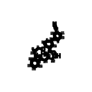 CCCOc1ccc(-c2cccc(C#N)c2)cc1C(=O)N[C@@H](CO)Cc1cn(C)c2ccccc12